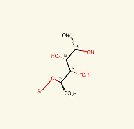 O=C[C@H](O)[C@@H](O)[C@H](O)[C@H](OBr)C(=O)O